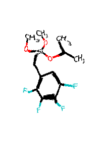 CO[Si](Cc1cc(F)c(F)c(F)c1F)(OC)OC(C)C